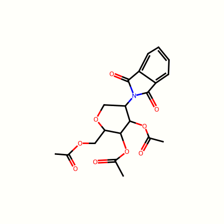 CC(=O)OCC1OCC(N2C(=O)c3ccccc3C2=O)C(OC(C)=O)C1OC(C)=O